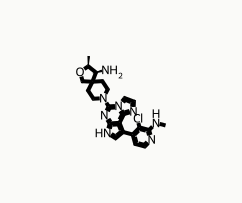 CNc1nccc(-c2c[nH]c3nc(N4CCC5(CC4)CO[C@@H](C)[C@H]5N)n4ccnc4c23)c1Cl